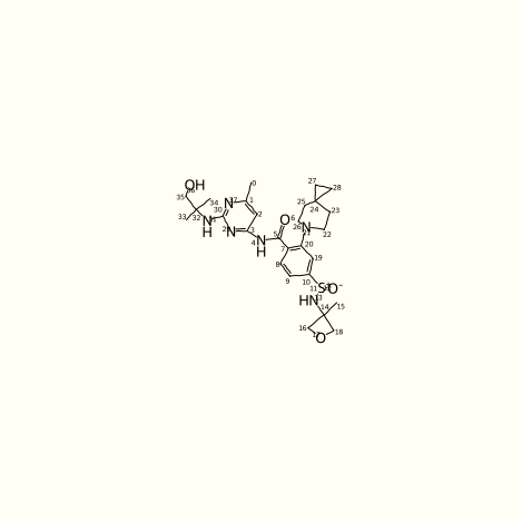 Cc1cc(NC(=O)c2ccc([S+]([O-])NC3(C)COC3)cc2N2CCC3(CC2)CC3)nc(NC(C)(C)CO)n1